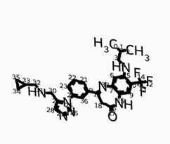 CC(C)CNc1cc2c(cc1C(F)(F)F)NC(=O)CC(c1cccc(-n3nncc3CNCC3CC3)c1)=N2